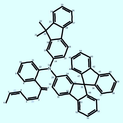 C=C(/C=C\C=C/C)c1ccccc1N(c1ccc2c(c1)C(C)(C)c1ccccc1-2)c1ccc2c(c1)C1(c3ccccc3-c3ccccc31)c1ccccc1-2